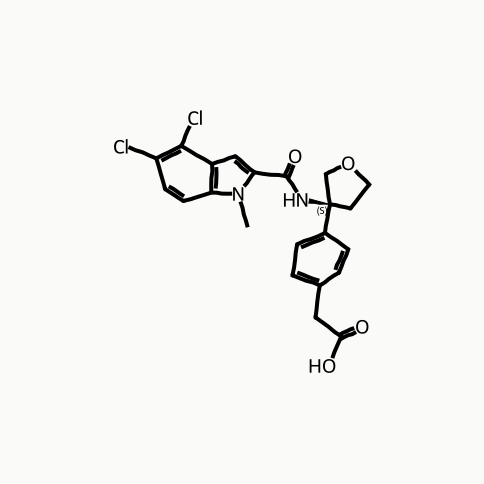 Cn1c(C(=O)N[C@]2(c3ccc(CC(=O)O)cc3)CCOC2)cc2c(Cl)c(Cl)ccc21